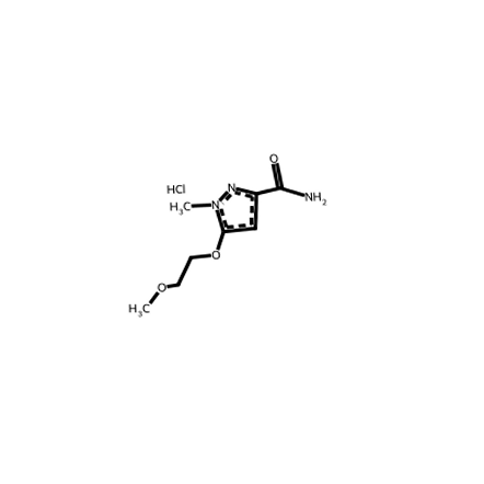 COCCOc1cc(C(N)=O)nn1C.Cl